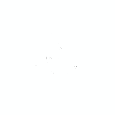 COc1cccc(CN2CC(C)[C@H](NC(=O)c3cc(C4CC4)on3)C2)c1